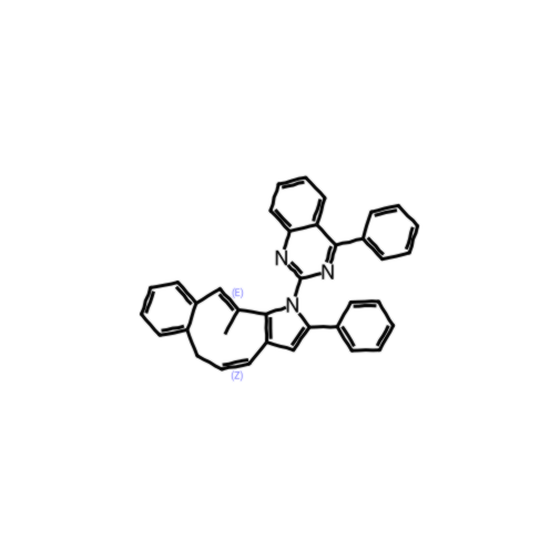 C/C1=C\c2ccccc2C/C=C\c2cc(-c3ccccc3)n(-c3nc(-c4ccccc4)c4ccccc4n3)c21